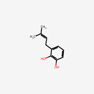 CC(C)=CCc1cccc(O)c1O